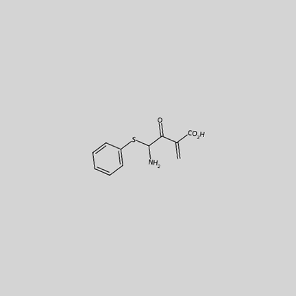 C=C(C(=O)O)C(=O)C(N)Sc1ccccc1